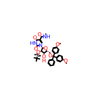 CNC(=O)c1cn([C@@H]2O[C@H](COC(c3ccccc3)(c3ccc(OC)cc3)c3ccc(OC)cc3)[C@@H](O)[C@H]2O[Si](C)(C)C(C)(C)C)c(=O)[nH]c1=O